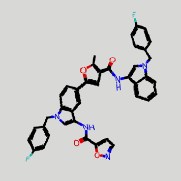 Cc1oc(-c2ccc3c(c2)c(NC(=O)c2ccno2)cn3Cc2ccc(F)cc2)cc1C(=O)Nc1cn(Cc2ccc(F)cc2)c2ccccc12